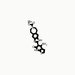 CC(C)(C)OC(=O)N1CCc2cc3nc(-c4c(N)c5ccsc5[nH]c4=O)[nH]c3cc2CC1